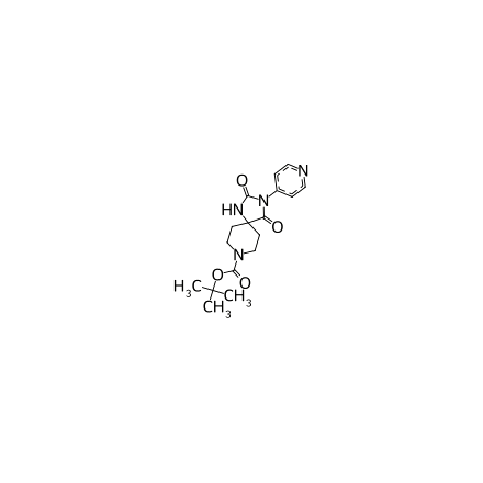 CC(C)(C)OC(=O)N1CCC2(CC1)NC(=O)N(c1ccncc1)C2=O